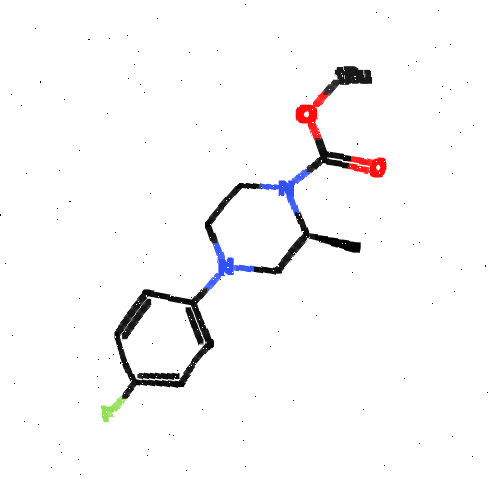 C[C@H]1CN(c2ccc(F)cc2)CCN1C(=O)OC(C)(C)C